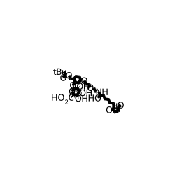 CC(C)(C)C(=O)OCc1ccc(OCCOCCNC(O)CCCCCN2C(=O)C=CC2=O)cc1O[C@@H]1O[C@H](C(=O)O)[C@@H](O)[C@H](O)[C@H]1O